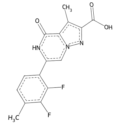 Cc1ccc(-c2cn3nc(C(=O)O)c(C)c3c(=O)[nH]2)c(F)c1F